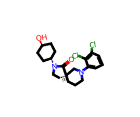 O=C1N([C@H]2CC[C@H](O)CC2)CC[C@]12CCCN(c1cccc(Cl)c1Cl)C2